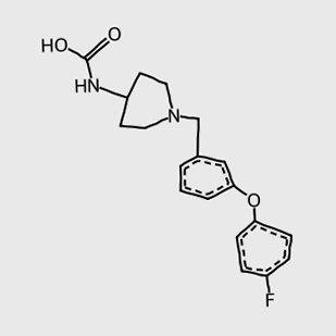 O=C(O)NC1CCN(Cc2cccc(Oc3ccc(F)cc3)c2)CC1